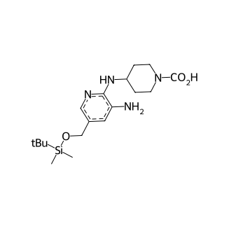 CC(C)(C)[Si](C)(C)OCc1cnc(NC2CCN(C(=O)O)CC2)c(N)c1